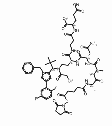 C[C@H](NC(=O)CCCC(=O)ON1C(=O)CCC1=O)C(=O)N[C@H](C)C(=O)N[C@@H](CC(N)=O)C(=O)N[C@@H](CCN(C(=O)CO)[C@@H](c1cc(-c2cc(F)ccc2F)cn1Cc1ccccc1)C(C)(C)C)C(=O)NCCC(=O)N[C@H](CCC(=O)O)C(=O)O